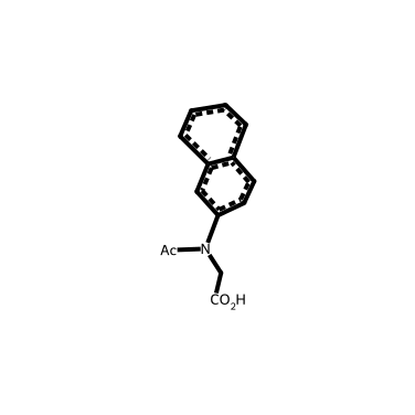 CC(=O)N(CC(=O)O)c1ccc2ccccc2c1